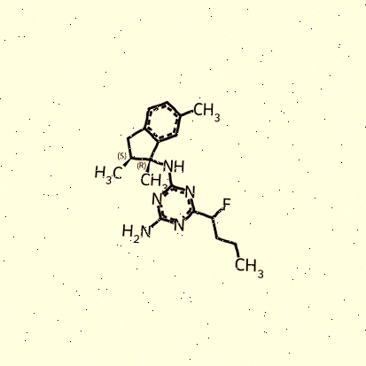 CCCC(F)c1nc(N)nc(N[C@@]2(C)c3cc(C)ccc3C[C@@H]2C)n1